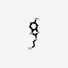 CCCSc1nc2cc(N)ccc2[nH]1